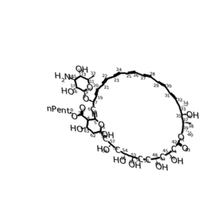 CCCCCOC(=O)C1[C@@H]2C[C@@H](O[C@@H]3O[C@H](C)[C@@H](O)[C@H](N)[C@H]3O)/C=C/C=C/C=C/C=C/C=C/C=C/C=C/[C@H](C)[C@@H](O)[C@@H](C)[C@H](C)OC(=O)C[C@H](O)C[C@H](O)CC[C@@H](O)[C@H](O)C[C@H](O)C[C@](O)(C[C@@H]1O)O2